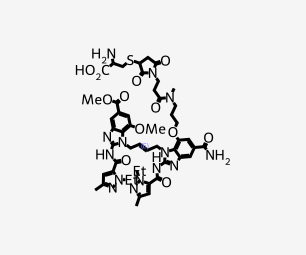 CCn1nc(C)cc1C(=O)Nc1nc2cc(C(=O)OC)cc(OC)c2n1C/C=C/Cn1c(NC(=O)c2cc(C)nn2CC)nc2cc(C(N)=O)cc(OCCCN(C)C(=O)CCN3C(=O)CC(SCC(N)C(=O)O)C3=O)c21